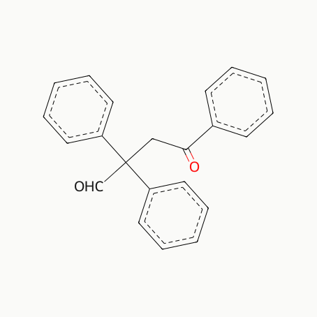 O=CC(CC(=O)c1ccccc1)(c1ccccc1)c1ccccc1